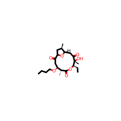 CCCCO[C@H]1CC(=O)[C@@]2(C)C[C@@H](C)[C@@H](CC(=O)[C@](C)(O)[C@@H](CC)OC(=O)[C@@H]1C)O2